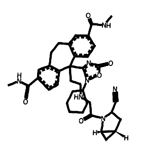 CNC(=O)c1ccc2c(c1)CCc1cc(C(=O)NC)ccc1C2(CCNCC(=O)N1C(C#N)C[C@@H]2C[C@@H]21)c1nc(=O)on1C1CCCCC1